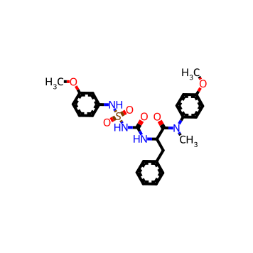 COc1ccc(N(C)C(=O)C(Cc2ccccc2)NC(=O)NS(=O)(=O)Nc2cccc(OC)c2)cc1